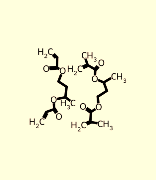 C=C(C)C(=O)OCCC(C)OC(=O)C(=C)C.C=CC(=O)OCCC(C)OC(=O)C=C